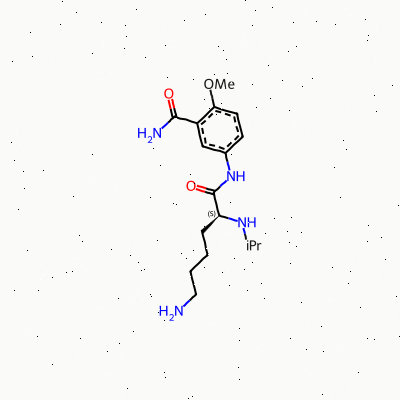 COc1ccc(NC(=O)[C@H](CCCCN)NC(C)C)cc1C(N)=O